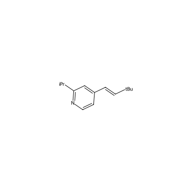 CC(C)c1cc(/C=C/C(C)(C)C)ccn1